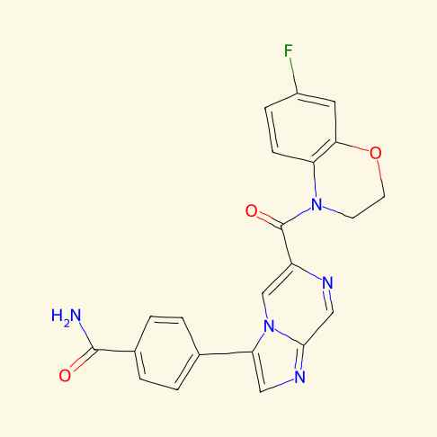 NC(=O)c1ccc(-c2cnc3cnc(C(=O)N4CCOc5cc(F)ccc54)cn23)cc1